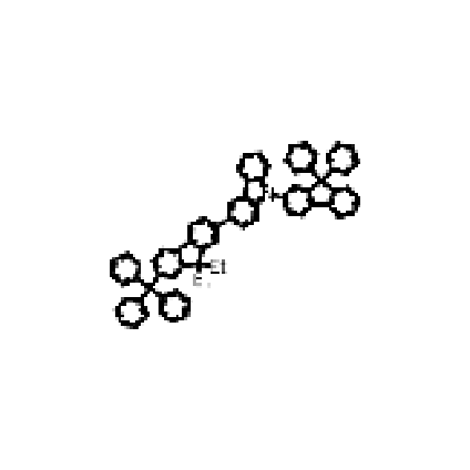 CCC1(CC)c2cc(-c3ccc4c(c3)c3ccccc3n4-c3ccc4c(c3)C(c3ccccc3)(c3ccccc3)c3ccccc3-4)ccc2-c2ccc(C(c3ccccc3)(c3ccccc3)c3ccccc3)cc21